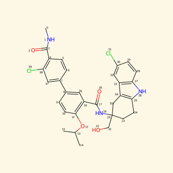 CNC(=O)c1ccc(-c2ccc(OC(C)C)c(C(=O)NC3(CO)CCc4[nH]c5ccc(Cl)cc5c4C3)c2)cc1Cl